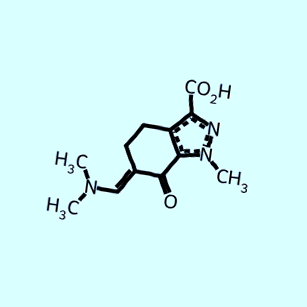 CN(C)C=C1CCc2c(C(=O)O)nn(C)c2C1=O